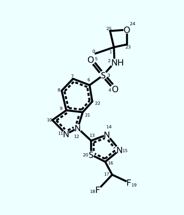 CC1(NS(=O)(=O)c2ccc3cnn(-c4nnc(C(F)F)s4)c3c2)COC1